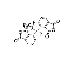 O=C1OC(=O)c2c1cccc2C(F)(c1cccc2c1C(=O)OC2=O)C(F)(F)C(F)(F)F